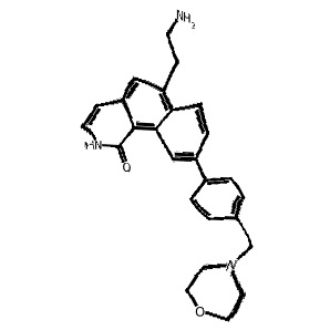 NCCc1cc2cc[nH]c(=O)c2c2cc(-c3ccc(CN4CCOCC4)cc3)ccc12